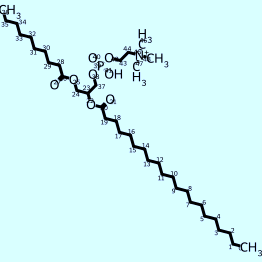 CCCCCCCCCCCCCCCCCCCCC(=O)OC(COC(=O)CCCCCCCCC)COP(=O)(O)OCC[N+](C)(C)C